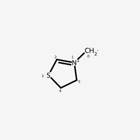 [CH2][N+]1=CSCC1